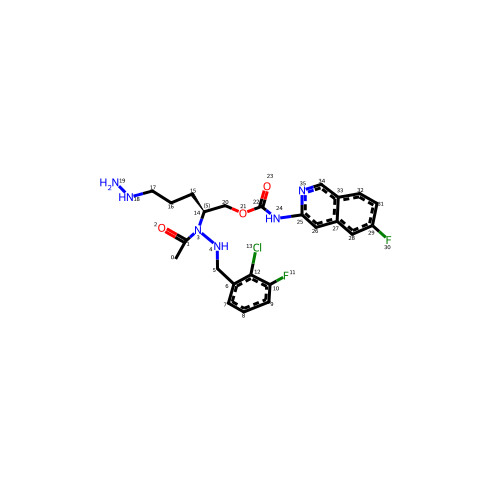 CC(=O)N(NCc1cccc(F)c1Cl)[C@@H](CCCNN)COC(=O)Nc1cc2cc(F)ccc2cn1